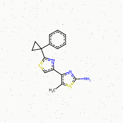 Cc1sc(N)nc1-c1csc(C2(c3ccccc3)CC2)n1